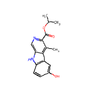 Cc1c(C(=O)OC(C)C)ncc2[nH]c3ccc(O)cc3c12